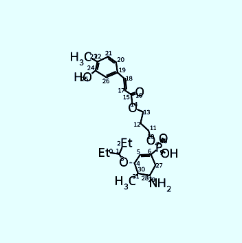 CCC(CC)O[C@@H]1C=C(P(=O)(O)OCCCOC(=O)/C=C/c2ccc(C)c(O)c2)C[C@H](N)[C@H]1C